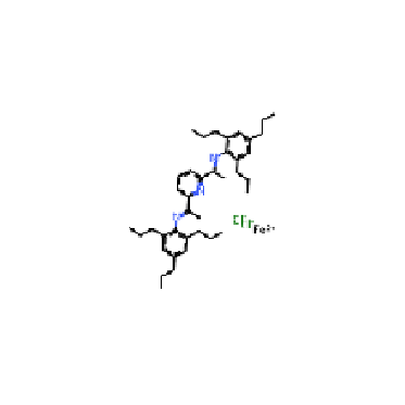 CCCc1cc(CCC)c(N=C(C)c2cccc(C(C)=Nc3c(CCC)cc(CCC)cc3CCC)n2)c(CCC)c1.[Cl-].[Cl-].[Fe+2]